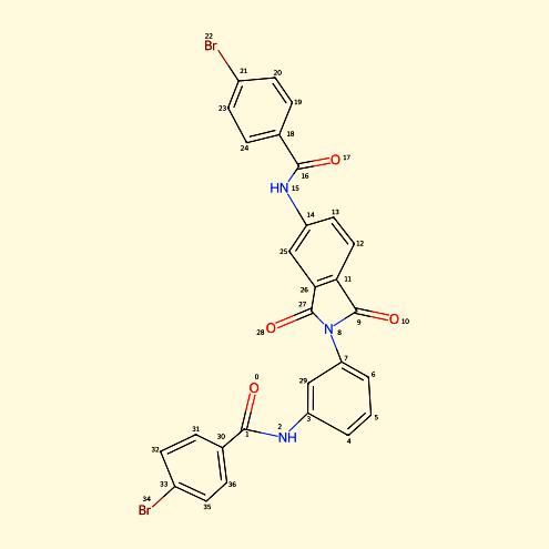 O=C(Nc1cccc(N2C(=O)c3ccc(NC(=O)c4ccc(Br)cc4)cc3C2=O)c1)c1ccc(Br)cc1